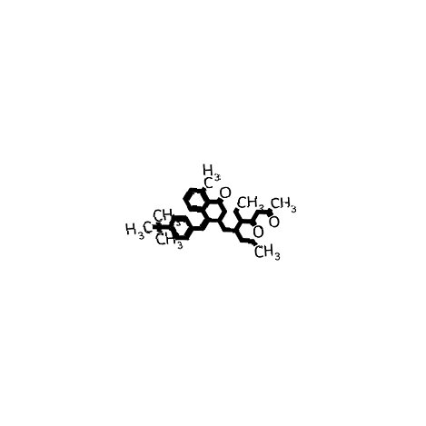 CCCC(CC1CC(=O)c2c(C)cccc2/C1=C\c1ccc(C(C)(C)C)cc1)C(CC)C(=O)CC(C)=O